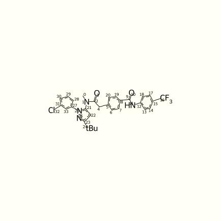 CN(C(=O)Cc1ccc(C(=O)Nc2ccc(C(F)(F)F)cc2)cc1)c1cc(C(C)(C)C)nn1-c1cccc(Cl)c1